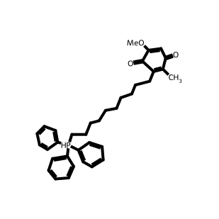 COC1=CC(=O)C(C)=C(CCCCCCCCCC[PH](c2ccccc2)(c2ccccc2)c2ccccc2)C1=O